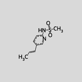 C/C=C/c1ccc(NS(C)(=O)=O)nc1